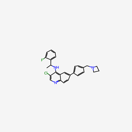 CC(Nc1c(Cl)cnc2ccc(-c3ccc(CN4CCC4)cc3)cc12)c1ccccc1F